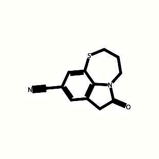 N#Cc1cc2c3c(c1)SCCCN3C(=O)C2